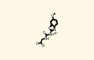 COc1ccc2nc(NC(=O)NCC(=O)[O-])sc2c1.[K+]